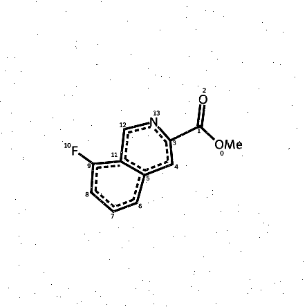 COC(=O)c1cc2cccc(F)c2cn1